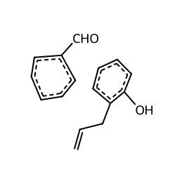 C=CCc1ccccc1O.O=Cc1ccccc1